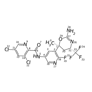 C[C@@]1(c2cc(NC(=O)c3ncc(Cl)cc3Cl)cnc2F)C[C@@H](C(F)(F)F)N=C(N)O1